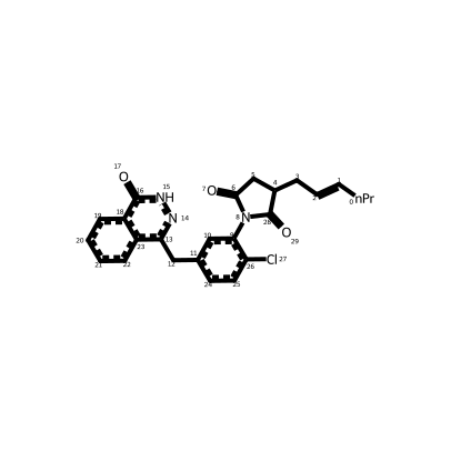 CCC/C=C/CC1CC(=O)N(c2cc(Cc3n[nH]c(=O)c4ccccc34)ccc2Cl)C1=O